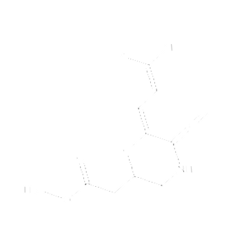 C=C=C1NCC(CC(=O)OC)O/C1=C/C=C(\C)Cl